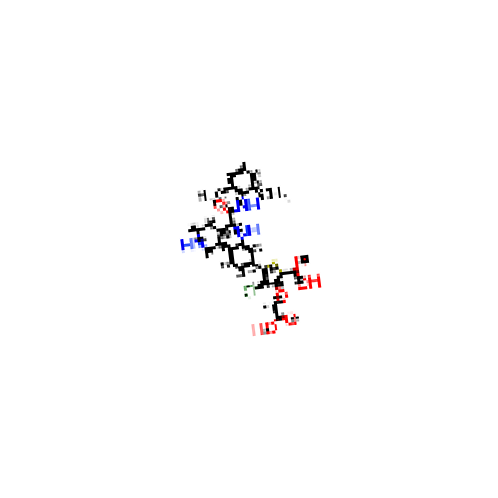 Cc1cccc(C)c1NC(=O)C(Nc1cccc(-c2sc(C(=O)O)c(OCC(=O)O)c2Cl)c1)C1CCNCC1